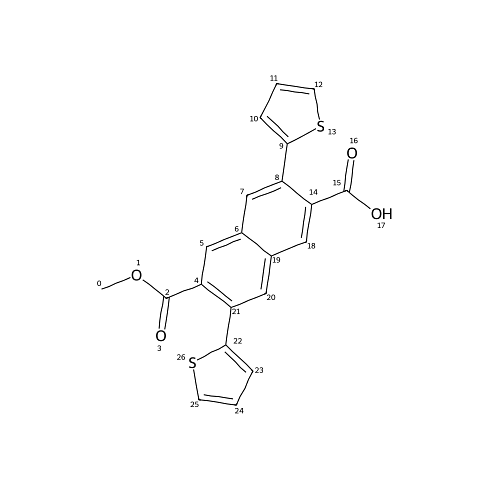 COC(=O)c1cc2cc(-c3cccs3)c(C(=O)O)cc2cc1-c1cccs1